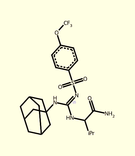 CC(C)C(N/C(=N/S(=O)(=O)c1ccc(OC(F)(F)F)cc1)NC12CC3CC(CC(C3)C1)C2)C(N)=O